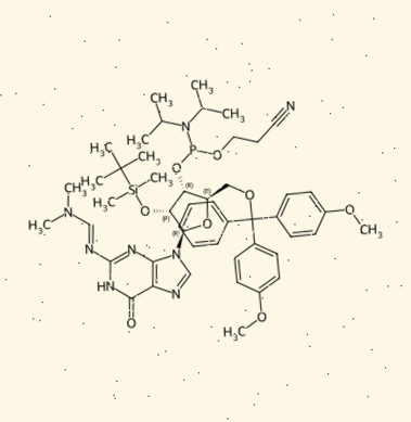 COc1ccc(C(OC[C@H]2O[C@@H](n3cnc4c(=O)[nH]c(N=CN(C)C)nc43)[C@H](O[Si](C)(C)C(C)(C)C)[C@@H]2OP(OCCC#N)N(C(C)C)C(C)C)(c2ccccc2)c2ccc(OC)cc2)cc1